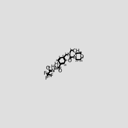 CCN(Cc1ccc(C(=O)NNC(=O)C(F)(F)F)cc1)C(=O)N1CCOCC1